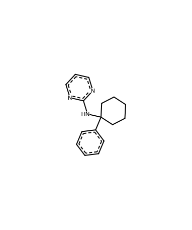 c1ccc(C2(Nc3ncccn3)CCCCC2)cc1